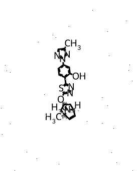 Cc1cnn(-c2ccc(-c3nnc(O[C@@H]4C[C@H]5C=C[C@@](C)(C4)N5C)s3)c(O)c2)n1